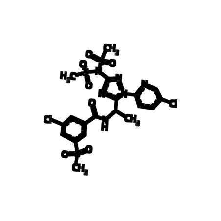 CC(NC(=O)c1cc(Cl)cc(S(C)(=O)=O)c1)c1nc(N(S(C)(=O)=O)S(C)(=O)=O)nn1-c1ccc(Cl)cn1